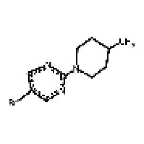 CC1CCN(c2ncc(Br)cn2)CC1